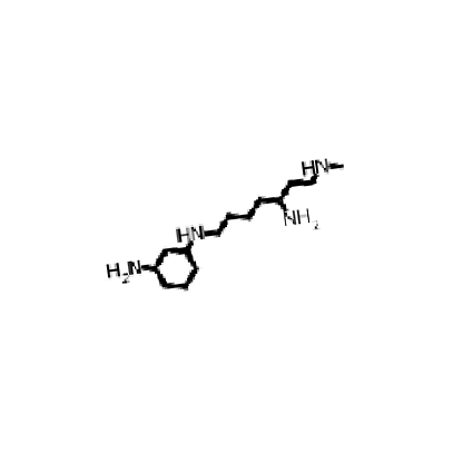 CNCCC(N)CCCCNC1CCCC(N)C1